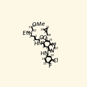 CCN(CC=CC(=O)Nc1cc2c(Nc3ccc(F)c(Cl)c3)ncnc2cc1OCC1CC1)CCOC